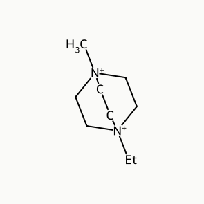 CC[N+]12CC[N+](C)(CC1)CC2